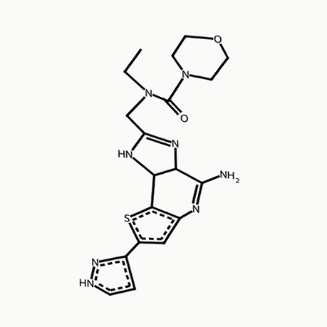 CCN(CC1=NC2C(N)=Nc3cc(-c4cc[nH]n4)sc3C2N1)C(=O)N1CCOCC1